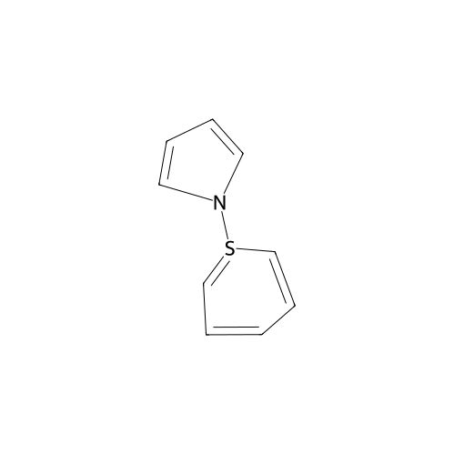 C1=CC=S(n2cccc2)C=C1